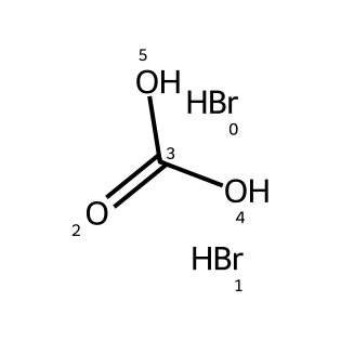 Br.Br.O=C(O)O